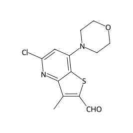 Cc1c(C=O)sc2c(N3CCOCC3)cc(Cl)nc12